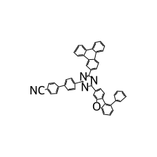 N#Cc1ccc(-c2ccc(-c3nc(-c4ccc5c(c4)oc4cccc(-c6ccccc6)c45)nc(-c4ccc5c6ccccc6c6ccccc6c5c4)n3)cc2)cc1